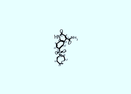 NC(=O)c1cc(=O)[nH]c2ccc(S(=O)(=O)N3CCCCCC3)cc12